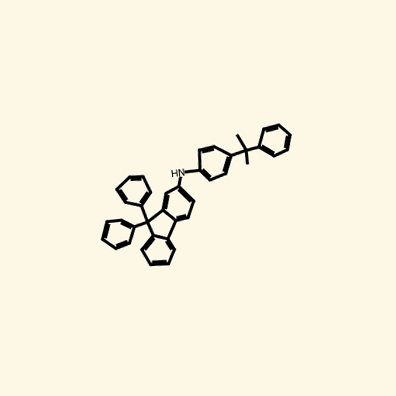 CC(C)(c1ccccc1)c1ccc(Nc2ccc3c(c2)C(c2ccccc2)(c2ccccc2)c2ccccc2-3)cc1